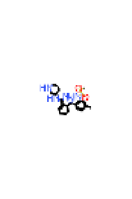 Cc1ccc(-c2nnc(N[C@@H]3CCCNC3)c3ccccc23)c(NS(C)(=O)=O)c1